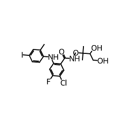 Cc1cc(I)ccc1Nc1cc(F)c(Cl)cc1C(=O)NOC(C)(C)C(O)CO